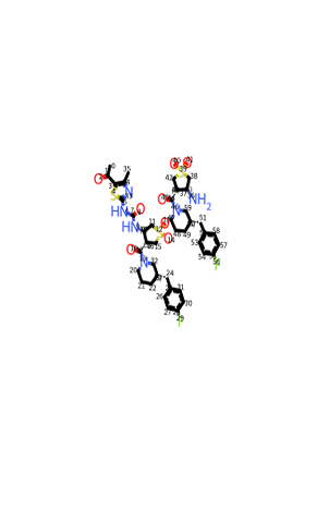 CC(=O)c1sc(NC(=O)N[C@H]2CS(=O)(=O)C[C@@H]2C(=O)N2CCC[C@@H](Cc3ccc(F)cc3)C2)nc1C.N[C@@H]1CS(=O)(=O)C[C@H]1C(=O)N1CCC[C@@H](Cc2ccc(F)cc2)C1